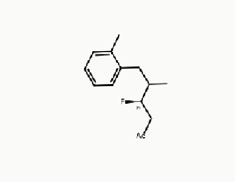 CC(=O)C[C@@H](F)C(C)Cc1ccccc1C